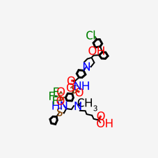 CN(CCCCCC(=O)O)CCC(CSc1ccccc1)Nc1ccc(S(=O)(=O)NC(=O)c2ccc(N3CCC([C@@H](O)c4ccccc4-c4ccc(Cl)cc4)CC3)cc2)cc1S(=O)(=O)C(F)(F)F